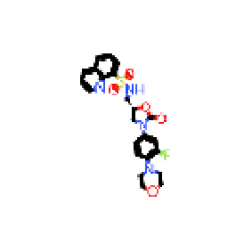 O=C1O[C@@H](CNS(=O)(=O)c2cccc3cccnc23)CN1c1ccc(N2CCOCC2)c(F)c1